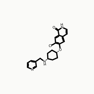 O=c1[nH]ccc2cc(O[C@H]3CC[C@@H](NCc4cccnc4)CC3)c(Cl)cc12